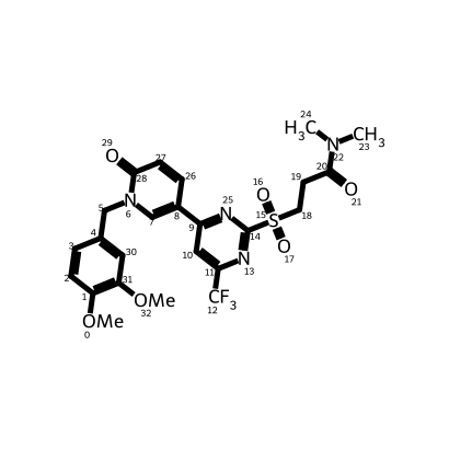 COc1ccc(Cn2cc(-c3cc(C(F)(F)F)nc(S(=O)(=O)CCC(=O)N(C)C)n3)ccc2=O)cc1OC